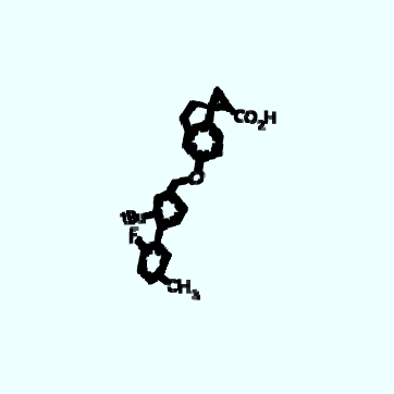 Cc1ccc(F)c(-c2ccc(COc3ccc4c(c3)CC[C@]43C[C@H]3C(=O)O)cc2C(C)(C)C)c1